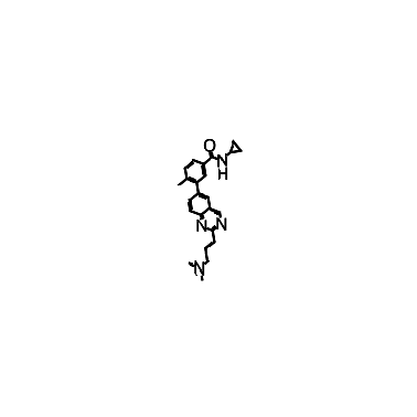 Cc1ccc(C(=O)NC2CC2)cc1-c1ccc2nc(CCCN(C)C)ncc2c1